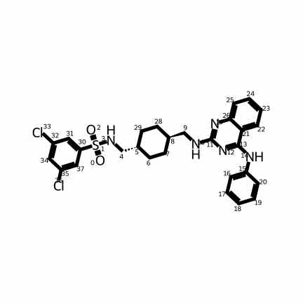 O=S(=O)(NC[C@H]1CC[C@H](CNc2nc(Nc3ccccc3)c3ccccc3n2)CC1)c1cc(Cl)cc(Cl)c1